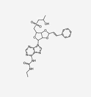 CCNC(=O)Nc1ncnc2c1ncn2C1OC(CS(=O)(=O)CC(C)O)C2OC(C=Cc3ccccc3)OC21